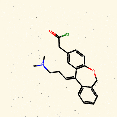 CN(C)CC/C=C1/c2ccccc2COc2ccc(CC(=O)Cl)cc21